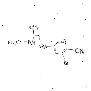 C[C@@H](CNc1cnc(C#N)c(Br)c1)NC(=O)O